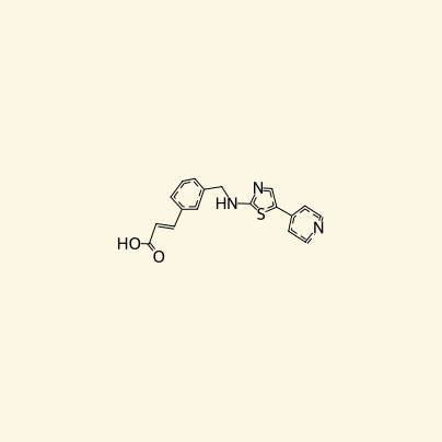 O=C(O)C=Cc1cccc(CNc2ncc(-c3ccncc3)s2)c1